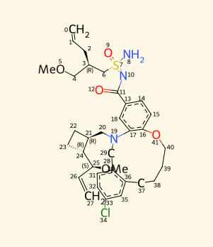 C=CC[C@H](COC)CS(N)(=O)=NC(=O)c1ccc2c(c1)N(C[C@@H]1CC[C@H]1[C@H](C=C)OC)Cc1ccc(Cl)cc1CCCCO2